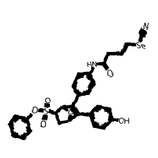 N#C[Se]CCCC(=O)Nc1ccc(C2=C(c3ccc(O)cc3)C3CC(S(=O)(=O)Oc4ccccc4)C2O3)cc1